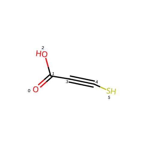 O=C(O)C#CS